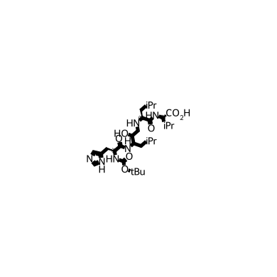 CC(C)CC(NC(=O)[C@H](Cc1cnc[nH]1)NC(=O)OC(C)(C)C)C(O)CN[C@@H](CC(C)C)C(=O)N[C@@H](C(=O)O)C(C)C